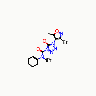 CCc1noc(C)c1-n1nnn(C(=O)N(C2=CCCCC2)C(C)C)c1=O